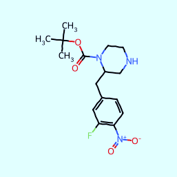 CC(C)(C)OC(=O)N1CCNCC1Cc1ccc([N+](=O)[O-])c(F)c1